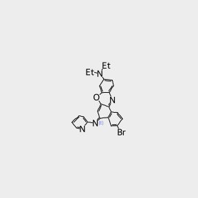 CCN(CC)c1ccc2nc3c4ccc(Br)cc4/c(=N/c4ccccn4)cc-3oc2c1